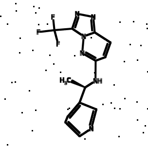 C[C@@H](Nc1ccc2nnc(C(F)(F)F)n2n1)c1cccnc1